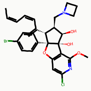 C=C(/C=C\C=C/C)[C@@H]1[C@@H](CN2CCC2)[C@@H](O)[C@@]2(O)c3c(cc(Cl)nc3OC)O[C@@]12c1ccc(Br)cc1